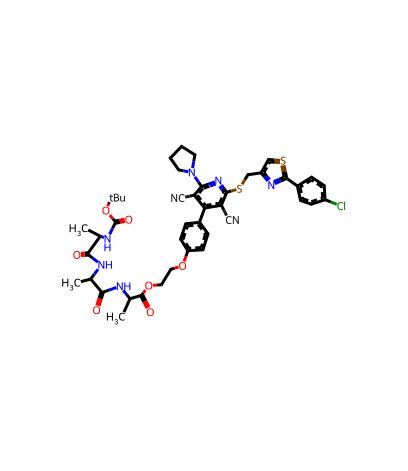 CC(NC(=O)OC(C)(C)C)C(=O)NC(C)C(=O)NC(C)C(=O)OCCOc1ccc(-c2c(C#N)c(SCc3csc(-c4ccc(Cl)cc4)n3)nc(N3CCCC3)c2C#N)cc1